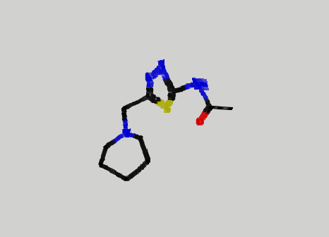 CC(=O)Nc1nnc(CN2CCCCC2)s1